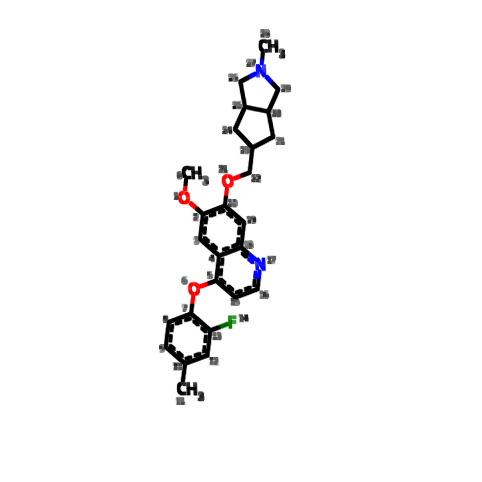 COc1cc2c(Oc3ccc(C)cc3F)ccnc2cc1OCC1CC2CN(C)CC2C1